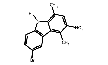 CCn1c2ccc(Br)cc2c2c(C)c([N+](=O)[O-])cc(C)c21